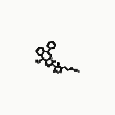 COCCC(=O)NC(C)C(=O)N[C@H]1N=C(c2ccccc2)c2ccccc2N(C)C1=O